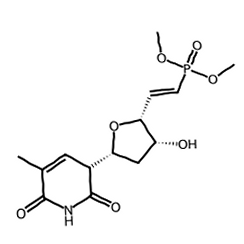 COP(=O)(/C=C/[C@H]1O[C@@H](C2C=C(C)C(=O)NC2=O)C[C@H]1O)OC